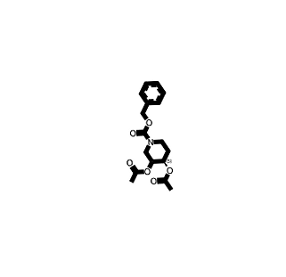 CC(=O)OC1CN(C(=O)OCc2ccccc2)CC[C@@H]1OC(C)=O